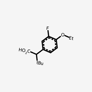 CCOc1ccc(C(C(=O)O)C(C)(C)C)cc1F